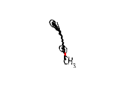 CCCCOC(=O)CCCCCCCCCCN=C=O